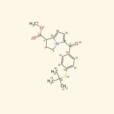 COC(=O)C1CCn2c(C(=O)c3ccc(SC(C)(C)C)cc3)ccc21